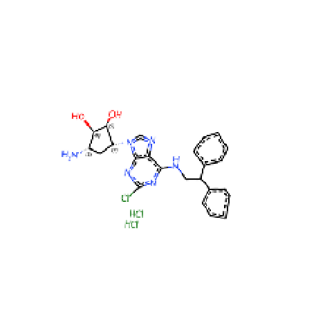 Cl.Cl.N[C@H]1C[C@@H](n2cnc3c(NCC(c4ccccc4)c4ccccc4)nc(Cl)nc32)[C@H](O)[C@@H]1O